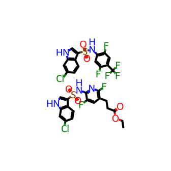 CCOC(=O)CCc1cc(F)c(NS(=O)(=O)c2c[nH]c3cc(Cl)ccc23)nc1F.O=S(=O)(Nc1cc(F)c(C(F)(F)F)cc1F)c1c[nH]c2cc(Cl)ccc12